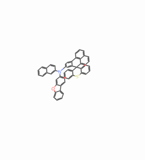 c1ccc2c(c1)Sc1ccccc1C21c2cc(N(c3ccc4ccccc4c3)c3ccc4c(c3)oc3ccccc34)ccc2-c2cccc3cccc1c23